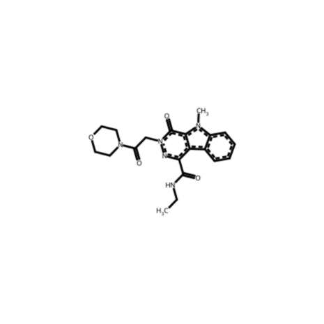 CCNC(=O)c1nn(CC(=O)N2CCOCC2)c(=O)c2c1c1ccccc1n2C